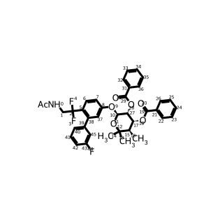 CC(=O)NCC(F)(F)c1ccc(O[C@@H]2OC(C)(C)[C@H](C)[C@@H](OC(=O)c3ccccc3)[C@H]2OC(=O)c2ccccc2)cc1-c1cccc(F)c1